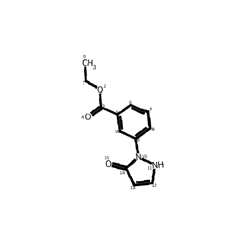 CCOC(=O)c1cccc(-n2[nH]ccc2=O)c1